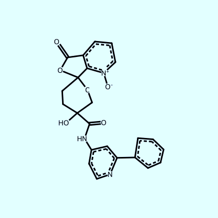 O=C1OC2(CCC(O)(C(=O)Nc3ccnc(-c4ccccc4)c3)CC2)c2c1ccc[n+]2[O-]